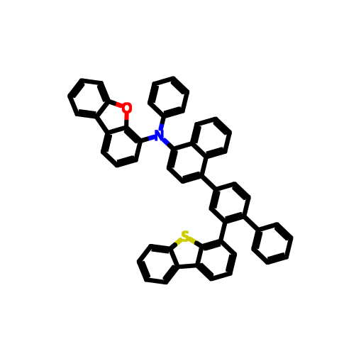 c1ccc(-c2ccc(-c3ccc(N(c4ccccc4)c4cccc5c4oc4ccccc45)c4ccccc34)cc2-c2cccc3c2sc2ccccc23)cc1